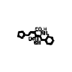 N[C@H](CC1CCCCC1)C(/C(=C\CC1CCCC1)C(=O)O)[PH](=O)O